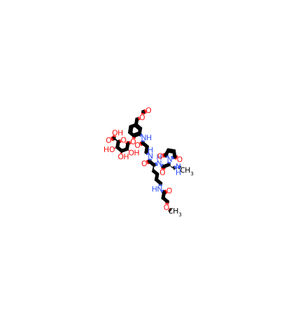 CNC[C@H](C(=O)N[C@@H](CCCCNC(=O)CCOC)C(=O)NCCC(=O)Nc1cc(COC=O)ccc1OC1O[C@H](C(=O)O)[C@@H](O)[C@H](O)[C@H]1O)N1C(=O)C=CC1=O